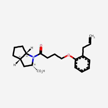 C=CCc1ccccc1OCCCC(=O)N1[C@H](C(=O)O)C[C@@H]2CCC[C@@H]21